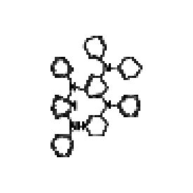 C1=CC(N(C2=CCCCC2)C2C=C(N(c3ccccc3)c3cccc(Nc4ccccc4)n3)C=C(N(c3ccccc3)C3C=CCCC3)C2)=CCC1